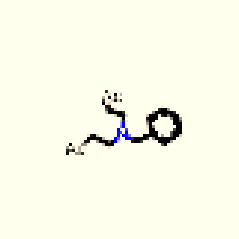 CC(=O)CCN(CCC(C)=O)Cc1ccccc1